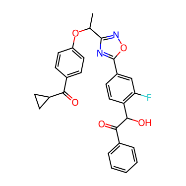 CC(Oc1ccc(C(=O)C2CC2)cc1)c1noc(-c2ccc(C(O)C(=O)c3ccccc3)c(F)c2)n1